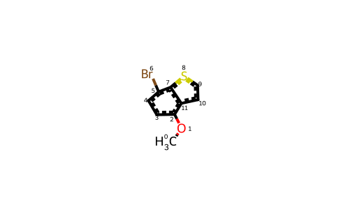 COc1ccc(Br)c2sccc12